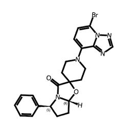 O=C1N2[C@@H](CC[C@H]2c2ccccc2)OC12CCN(c1ccc(Br)n3ncnc13)CC2